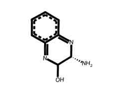 N[C@H]1N=c2ccccc2=NC1O